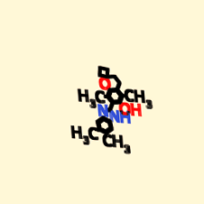 Cc1cc2nc(-c3c(C)c4c(c(C)c3O)CCC3(CCC3)O4)[nH]c2cc1C